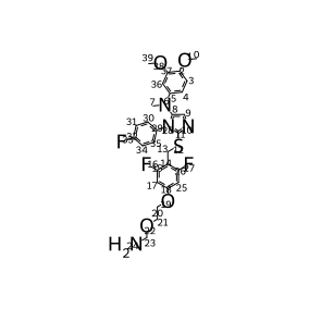 COc1ccc(N(C)c2cnc(SCc3c(F)cc(OCCOCN)cc3F)n2-c2ccc(F)cc2)cc1OC